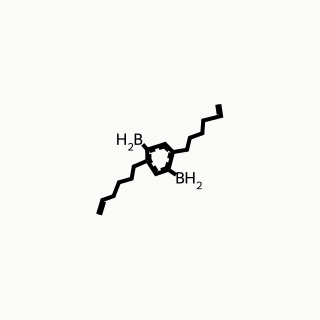 Bc1cc(CCCCC=C)c(B)cc1CCCCC=C